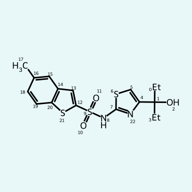 CCC(O)(CC)c1csc(NS(=O)(=O)c2cc3cc(C)ccc3s2)n1